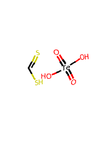 O=[Te](=O)(O)O.S=CS